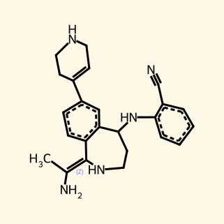 C/C(N)=C1/NCCC(Nc2ccccc2C#N)c2cc(C3=CCNCC3)ccc21